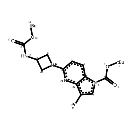 CC(C)c1cn(C(=O)OC(C)(C)C)c2ccc(N3CC(NC(=O)OC(C)(C)C)C3)nc12